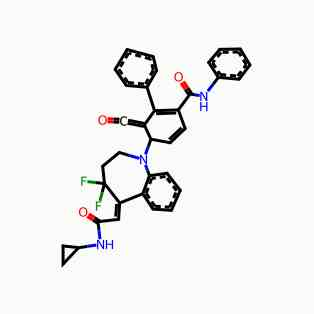 O=C=C1C(c2ccccc2)=C(C(=O)Nc2ccccc2)C=CC1N1CCC(F)(F)C(=CC(=O)NC2CC2)c2ccccc21